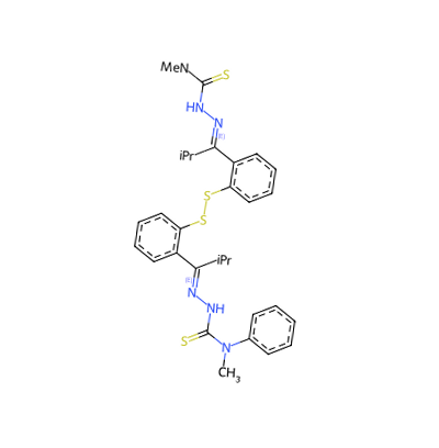 CNC(=S)N/N=C(/c1ccccc1SSc1ccccc1/C(=N/NC(=S)N(C)c1ccccc1)C(C)C)C(C)C